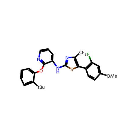 COc1ccc(-c2sc(Nc3cccnc3Oc3ccccc3C(C)(C)C)nc2C(F)(F)F)c(F)c1